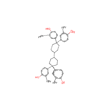 CCCc1cc(C2(c3ccc(O)c(CCC)c3)CCC(C3CCC(c4ccc(O)c(CCC)c4)(c4ccc(O)c(CCC)c4)CC3)CC2)ccc1O